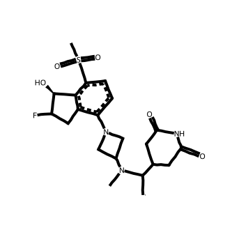 [CH2]C(C1CC(=O)NC(=O)C1)N(C)C1CN(c2ccc(S(C)(=O)=O)c3c2CC(F)[C@H]3O)C1